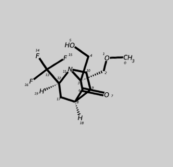 COC[C@]1(CO)C(=O)[C@H]2CCN1[C@H](C(F)(F)F)C2